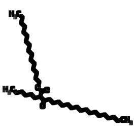 CCCCCCCCCCCCCCCCCC(=O)C(CCCCCC)C(=O)OCCCCCCCCCCCCCCCC